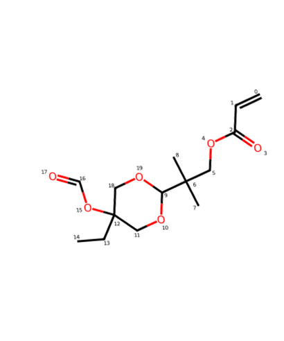 C=CC(=O)OCC(C)(C)C1OCC(CC)(OC=O)CO1